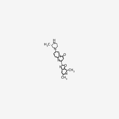 Cc1cc2nc(-c3cc(=O)n4cc(N5CCN[C@@H](C)C5)ccc4n3)oc2c(C)n1